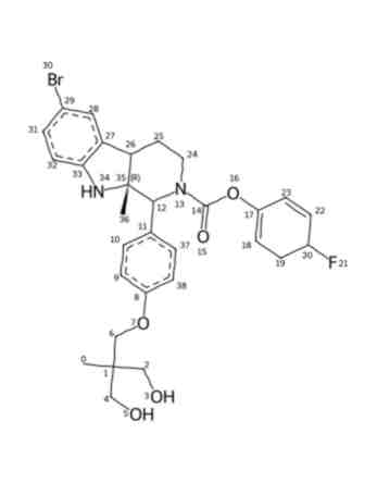 CC(CO)(CO)COc1ccc(C2N(C(=O)OC3=CCC(F)C=C3)CCC3c4cc(Br)ccc4N[C@]32C)cc1